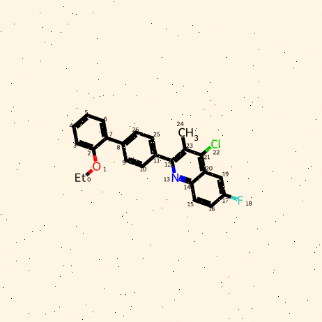 CCOc1ccccc1-c1ccc(-c2nc3ccc(F)cc3c(Cl)c2C)cc1